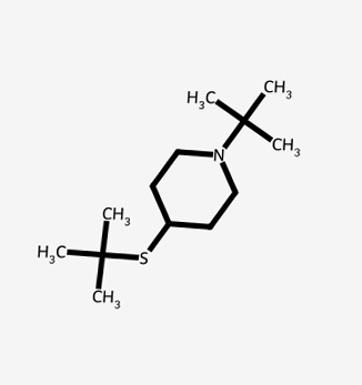 CC(C)(C)SC1CCN(C(C)(C)C)CC1